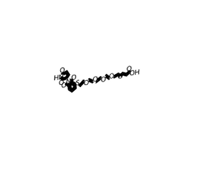 O=C(O)CCOCCOCCOCCOCCOCCSc1cccc2c1C(=O)N(C1CCC(=O)NC1=O)C2=O